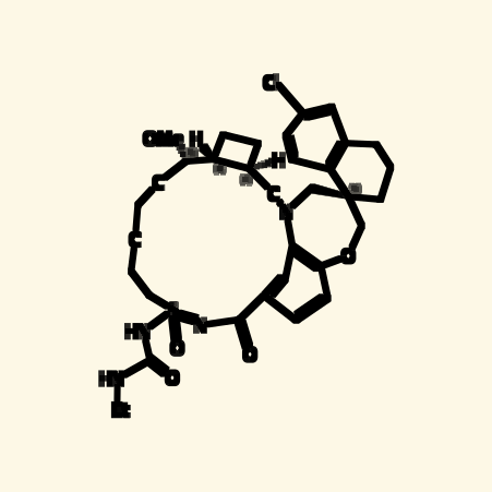 CCNC(=O)NS1(=O)=NC(=O)c2ccc3c(c2)N(C[C@@H]2CC[C@H]2[C@@H](OC)CCCCC1)C[C@@]1(CCCc2cc(Cl)ccc21)CO3